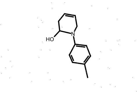 Cc1ccc(N2CC=CCC2O)cc1